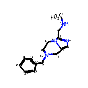 O=C(O)NCc1ncc2n1CCN(Cc1ccccc1)C2